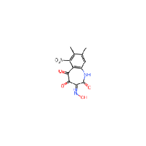 Cc1cc2c(c([N+](=O)[O-])c1C)C(=O)C(=O)/C(=N/O)C(=O)N2